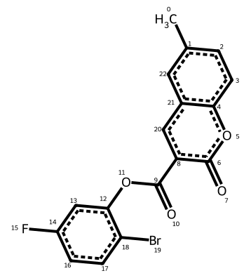 Cc1ccc2oc(=O)c(C(=O)Oc3cc(F)ccc3Br)cc2c1